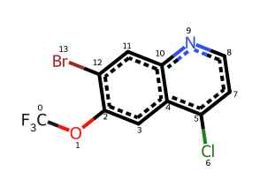 FC(F)(F)Oc1cc2c(Cl)ccnc2cc1Br